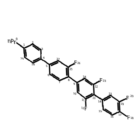 CCCc1ccc(-c2ccc(-c3cc(F)c(-c4ccc(F)c(F)c4)c(F)c3)c(F)c2)cc1